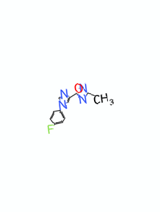 CCc1noc(-c2cn(-c3ccc(F)cc3)cn2)n1